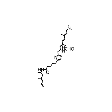 C=C/C=C(\C)CC(C)NC(=O)CCCCc1csc(CC(/C=C(C)/C=C/C(C)=C/CN(C)C)NC=O)n1